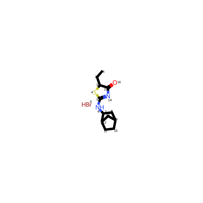 Br.CCC1SC(NC2CC3CCC2C3)=NC1=O